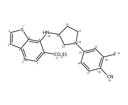 CCOC(=O)c1cnc2ccsc2c1NC1CCN(c2ccc(C#N)c(F)c2)C1